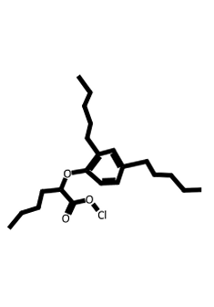 CCCCCc1ccc(OC(CCCC)C(=O)OCl)c(CCCCC)c1